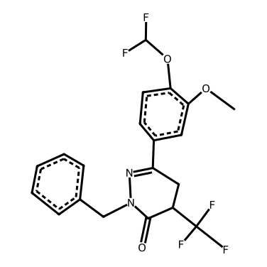 COc1cc(C2=NN(Cc3ccccc3)C(=O)C(C(F)(F)F)C2)ccc1OC(F)F